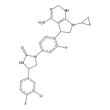 NC1=NCNC2=C1C(c1ccc(N3CC(c4ccc(F)c(Cl)c4)NC3=O)cc1F)CN2C1CC1